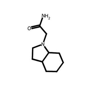 NC(=O)CN1CCC2CCCCC21